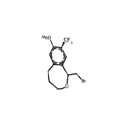 COc1cc2c(cc1C(F)(F)F)C(CBr)OCCC2